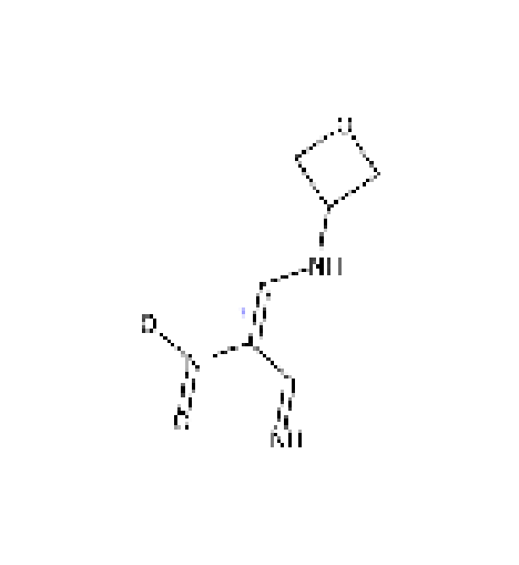 N=C/C(=C\NC1COC1)[N+](=O)[O-]